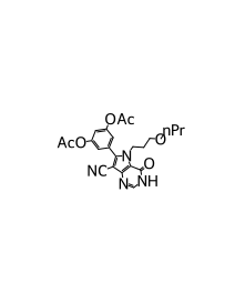 CCCOCCCn1c(-c2cc(OC(C)=O)cc(OC(C)=O)c2)c(C#N)c2nc[nH]c(=O)c21